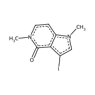 Cn1ccc2c(c(I)cn2C)c1=O